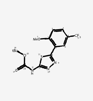 COc1ccc(C(F)(F)F)cc1-c1nnc(NC(=O)OC(C)(C)C)s1